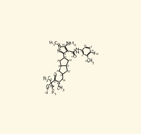 Cc1cc(NC(=O)c2c(C3CC4CC(CN(C)C(=O)C(C)(C)OI)CC4C3)nn(C)c2N)ccc1F